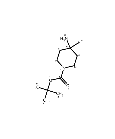 CC(C)(C)OC(=O)N1CCC(N)(F)CC1